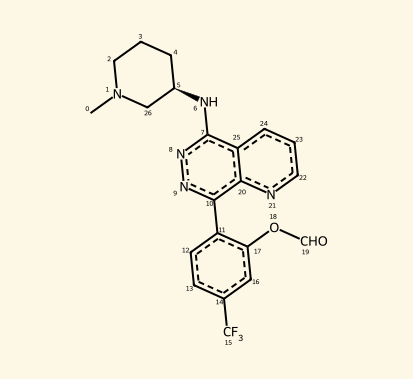 CN1CCC[C@@H](Nc2nnc(-c3ccc(C(F)(F)F)cc3OC=O)c3ncccc23)C1